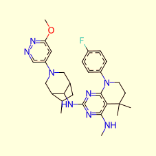 CNc1nc(NC2C3CC(C)C2CN(c2cnnc(OC)c2)C3)nc2c1C(C)(C)CCN2c1ccc(F)cc1